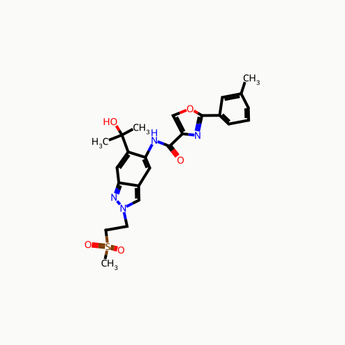 Cc1cccc(-c2nc(C(=O)Nc3cc4cn(CCS(C)(=O)=O)nc4cc3C(C)(C)O)co2)c1